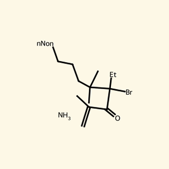 C=C(C)C(=O)C(Br)(CC)C(C)(C)CCCCCCCCCCCC.N